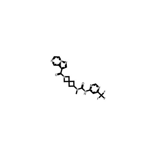 CN(C(=O)Nc1cc(C(F)(F)F)ncn1)C1CC2(C1)CN(C(=O)c1cnn3ccncc13)C2